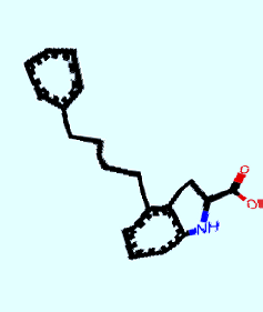 O=C(O)C1Cc2c(CCCCc3ccccc3)cccc2N1